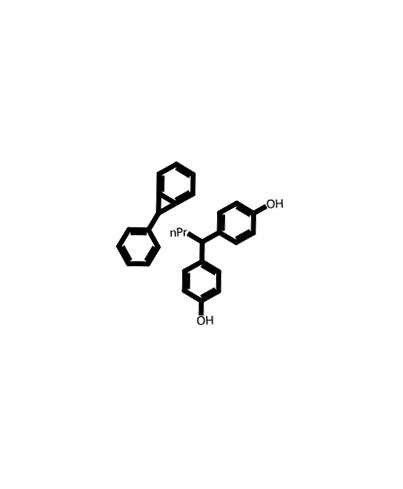 CCCC(c1ccc(O)cc1)c1ccc(O)cc1.c1ccc(C2c3ccccc32)cc1